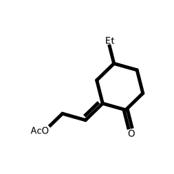 CCC1CCC(=O)C(=CCOC(C)=O)C1